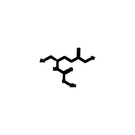 CC(=O)C[C@@H](CCC(=O)CBr)NC(=O)OC(C)(C)C